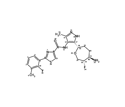 Cc1cccc(-c2nc(C(=O)Nc3c(C)n[nH]c3[C@@H]3CC[C@@H](N)[C@H](F)CO3)cs2)c1F